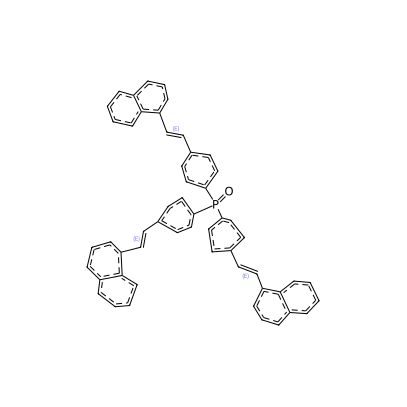 O=P(c1ccc(/C=C/c2cccc3ccccc23)cc1)(c1ccc(/C=C/c2cccc3ccccc23)cc1)c1ccc(/C=C/c2cccc3ccccc23)cc1